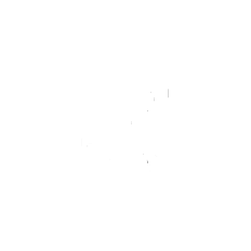 CCC1C[C@@H](O)CCO1